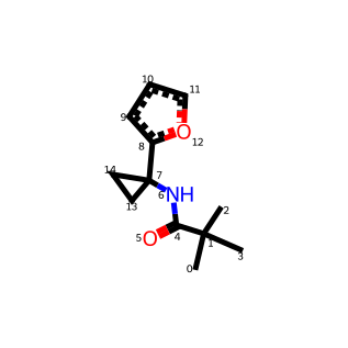 CC(C)(C)C(=O)NC1(c2ccco2)CC1